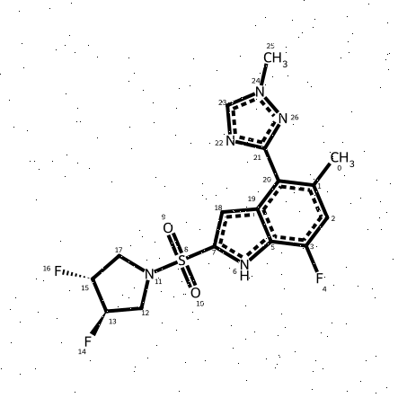 Cc1cc(F)c2[nH]c(S(=O)(=O)N3C[C@@H](F)[C@H](F)C3)cc2c1-c1ncn(C)n1